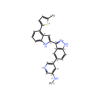 CC(=O)c1ccc(-c2cccc3[nH]c(-c4n[nH]c5ccc(-c6cncc(NC(C)C)c6)cc45)cc23)s1